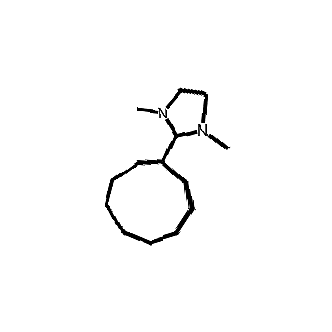 CN1CCN(C)C1C1CCCCCCCC1